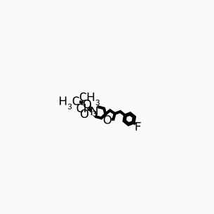 CC(C)(C)OC(=O)N1CCC2(CC1)CC(Cc1ccc(F)cc1)CO2